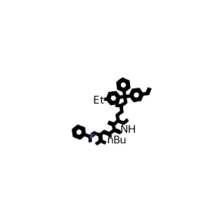 C=Cc1ccc(C(CC(C)CCC2C(=C)C(C(=CC(/C=C(\C)c3ccccc3)=C(C)C)CCCC)=CNC2C)(c2ccccc2)c2ccc(CC)cc2)cc1